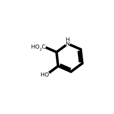 O=C(O)[C]1NC=CC=C1O